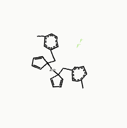 Cc1cccc(C[C]2([Zr+2][C]3(Cc4cccc(C)c4)C=CC=C3)C=CC=C2)c1.[F-].[F-]